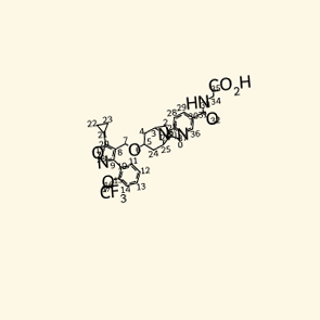 C[C@@H]1CC2CC(OCc3c(-c4ccccc4OC(F)(F)F)noc3C3CC3)CC1N2c1ccc(C(=O)NCC(=O)O)cn1